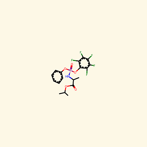 CC(C)OC(=O)C(C)N[P@](=O)(Oc1ccccc1)Oc1c(F)c(F)c(F)c(F)c1F